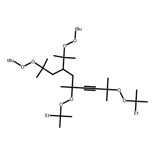 CCC(C)(C)OOC(C)(C)C#CC(C)(CC(CC(C)(C)OOC(C)(C)C)C(C)(C)OOC(C)(C)C)OOC(C)(C)CC